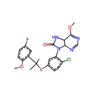 COC1=NC=NC2C1NC(=O)N2c1cc(SC(C)(C)c2cc(F)ccc2OC)ccc1Cl